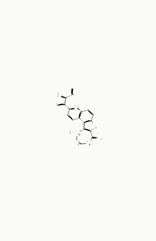 C=Cc1nscc1-c1ccc2c(ccc3sc4c(c32)NC[C@@H](C)NC4=O)n1